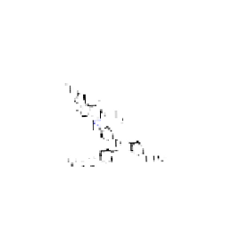 COc1ccc(CN(Cc2ccc(OC)cc2)c2ccc(/N=C(\N)c3cnn4cc(Br)cc4c3Cl)cc2)cc1